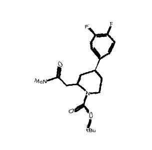 CNC(=O)CC1C[C@@H](c2ccc(F)c(F)c2)CCN1C(=O)OC(C)(C)C